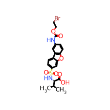 CC(C)[C@H](NS(=O)(=O)c1ccc2c(c1)oc1ccc(NC(=O)OCCBr)cc12)C(=O)O